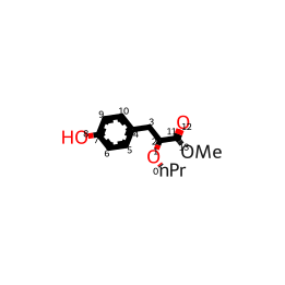 CCCOC(Cc1ccc(O)cc1)C(=O)OC